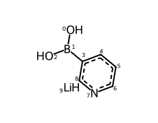 OB(O)c1cccnc1.[LiH]